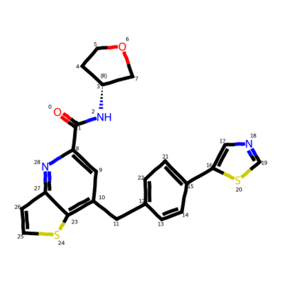 O=C(N[C@@H]1CCOC1)c1cc(Cc2ccc(-c3cncs3)cc2)c2sccc2n1